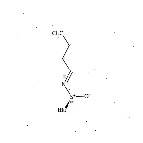 CC(C)(C)[S@+]([O-])/N=C/CCC(Cl)(Cl)Cl